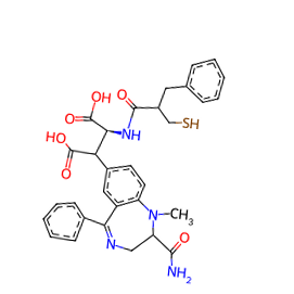 CN1c2ccc(C(C(=O)O)[C@H](NC(=O)C(CS)Cc3ccccc3)C(=O)O)cc2C(c2ccccc2)=NCC1C(N)=O